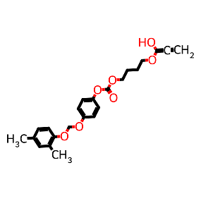 C=C=C(O)OCCCCOC(=O)Oc1ccc(OCOc2ccc(C)cc2C)cc1